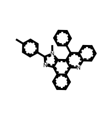 Cc1ccc(-c2nc3c4ccccc4c4nc5ccccc5c(-c5ccccc5)c4c3n2C)cc1